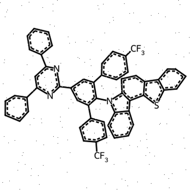 FC(F)(F)c1ccc(-c2cc(-c3nc(-c4ccccc4)cc(-c4ccccc4)n3)cc(-c3ccc(C(F)(F)F)cc3)c2-n2c3ccccc3c3c4sc5ccccc5c4ccc32)cc1